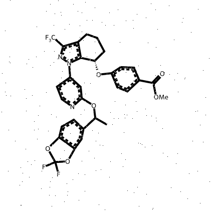 COC(=O)c1ccc(O[C@H]2CCCc3c(C(F)(F)F)nn(-c4ccnc(OC(C)c5ccc6c(c5)OC(F)(F)O6)c4)c32)cc1